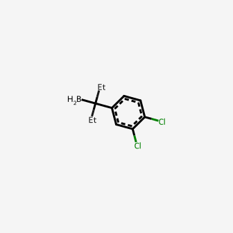 BC(CC)(CC)c1ccc(Cl)c(Cl)c1